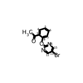 CC(=O)c1ccccc1Oc1ncc(Br)cn1